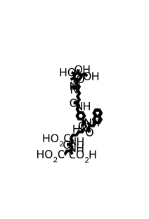 CC1C(O)C(O)C(CO)OC1n1cc(CCCC(=O)NCC2CCC(C(=O)NC(Cc3ccc4ccccc4c3)C(=O)NCCCCC(NC(=O)NC(CCC(=O)O)C(=O)O)C(=O)O)CC2)nn1